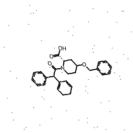 O=C(O)[C@@H]1CC(OCc2ccccc2)CCN1C(=O)C(C1=CCCC=C1)c1ccccc1